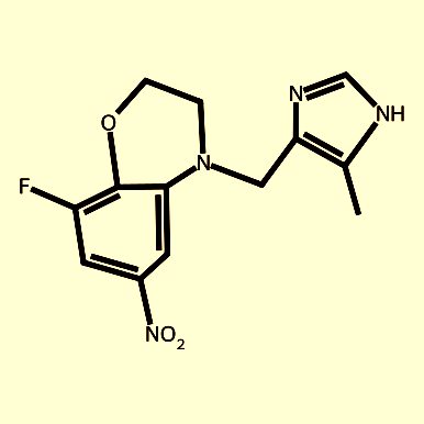 Cc1[nH]cnc1CN1CCOc2c(F)cc([N+](=O)[O-])cc21